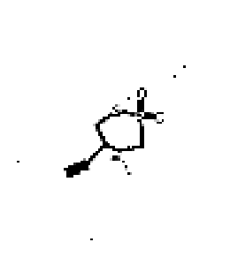 C#CC1CSS(=O)(=O)C[C@@H]1C